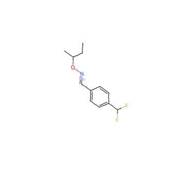 CCC(C)O/N=[C]/c1ccc(C(F)F)cc1